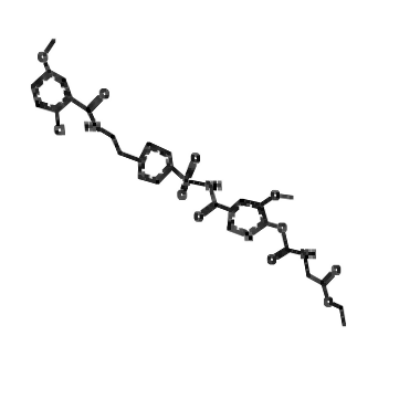 CCOC(=O)CNC(=O)Oc1ncc(C(=O)NS(=O)(=O)c2ccc(CCNC(=O)c3cc(OC)ccc3Cl)cc2)cc1OC